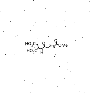 COC(=O)SSCC(=O)NC(CC(=O)O)C(=O)O